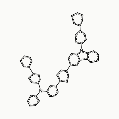 c1ccc(-c2ccc(N(c3ccccc3)c3cccc(-c4ccc(-c5ccc6c(c5)c5ccccc5n6-c5ccc(-c6ccccc6)cc5)cc4)c3)cc2)cc1